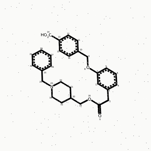 O=C(Cc1cccc(OCc2ccc(C(=O)O)cc2)c1)OCC1CCN(Cc2ccccc2)CC1